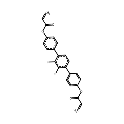 C=CC(=O)OC1=C=C=C(c2ccc(-c3ccc(OC(=O)C=C)cc3)c(F)c2F)C=C1